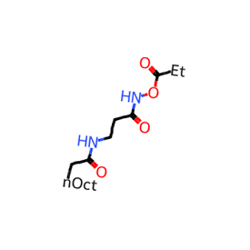 CCCCCCCCCC(=O)NCCC(=O)NOC(=O)CC